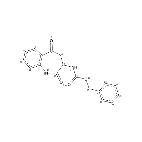 O=C(NC1CC(=O)c2ccccc2NC1=O)OCc1ccccc1